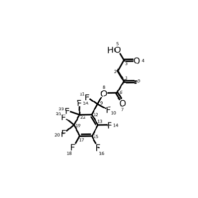 C=C(CC(=O)O)C(=O)OC(F)(F)C1=C(F)C(F)=C(F)C(F)(F)C1(F)F